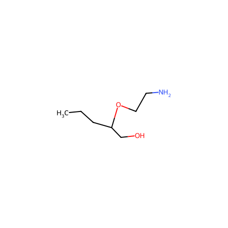 CCCC(CO)OCCN